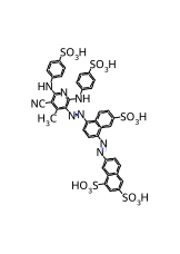 Cc1c(C#N)c(Nc2ccc(S(=O)(=O)O)cc2)nc(Nc2ccc(S(=O)(=O)O)cc2)c1/N=N/c1ccc(/N=N/c2ccc3cc(S(=O)(=O)O)cc(S(=O)(=O)O)c3c2)c2cc(S(=O)(=O)O)ccc12